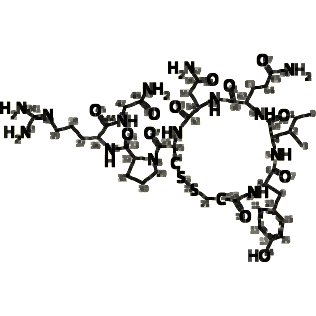 CCC(C)C1NC(=O)C(Cc2ccc(O)cc2)NC(=O)CCSSCC(C(=O)N2CCCC2C(=O)NC(CCCN=C(N)N)C(=O)NCC(N)=O)NC(=O)C(CC(N)=O)NC(=O)C(CCC(N)=O)NC1=O